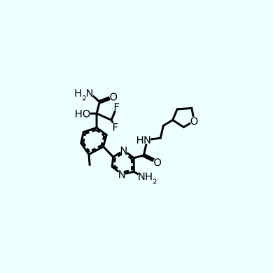 Cc1ccc(C(O)(C(N)=O)C(F)F)cc1-c1cnc(N)c(C(=O)NCCC2CCOC2)n1